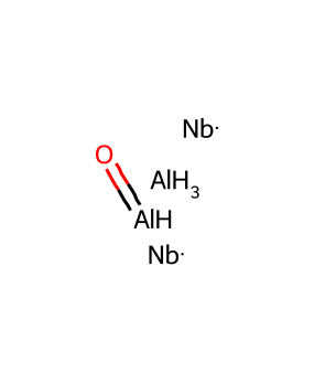 [AlH3].[Nb].[Nb].[O]=[AlH]